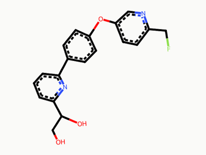 OCC(O)c1cccc(-c2ccc(Oc3ccc(CF)nc3)cc2)n1